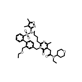 CCCCc1nc(C)c(CC(=O)N(CC)C2CCOCC2)c(=O)n1Cc1ccc(-c2ccccc2S(=O)(=O)Nc2noc(C)c2C)c(COCC)c1